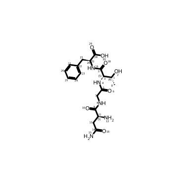 C[C@@H](O)[C@H](NC(=O)CNC(=O)[C@@H](N)CC(N)=O)C(=O)N[C@@H](Cc1ccccc1)C(=O)O